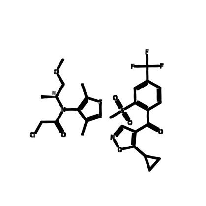 COC[C@H](C)N(C(=O)CCl)c1c(C)csc1C.CS(=O)(=O)c1cc(C(F)(F)F)ccc1C(=O)c1cnoc1C1CC1